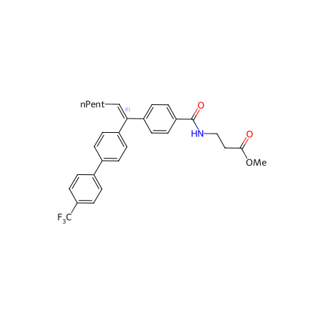 CCCCC/C=C(/c1ccc(C(=O)NCCC(=O)OC)cc1)c1ccc(-c2ccc(C(F)(F)F)cc2)cc1